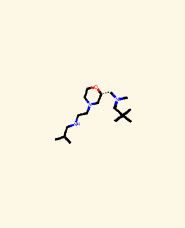 CC(C)CNCCN1CCO[C@H](CN(C)CC(C)(C)C)C1